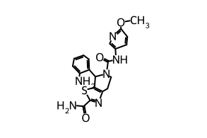 COc1ccc(NC(=O)N2CCc3nc(C(N)=O)sc3C2c2ccccc2N)cn1